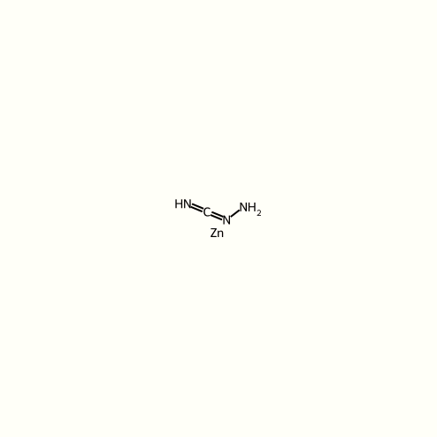 N=C=NN.[Zn]